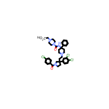 O=C(O)CN1CCN(C(=O)NC2(c3ccccc3)CCN(CCC3(c4ccc(Cl)c(Cl)c4)CCN(C(=O)c4ccc(Cl)cc4)C3)CC2)CC1